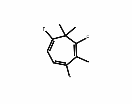 CC1=C(F)C(C)(C)C(F)=CC=C1F